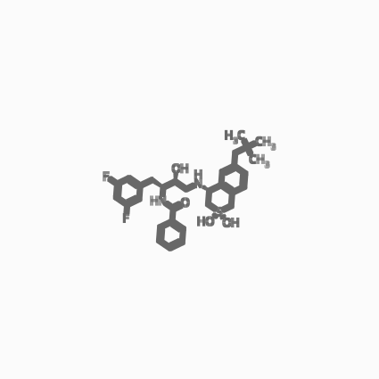 CC(C)(C)Cc1ccc2c(c1)[C@@H](NC[C@H](O)[C@H](Cc1cc(F)cc(F)c1)NC(=O)c1ccccc1)CS(O)(O)C2